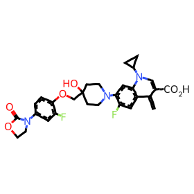 C=C1C(C(=O)O)=CN(C2CC2)c2cc(N3CCC(O)(COc4ccc(N5CCOC5=O)cc4F)CC3)c(F)cc21